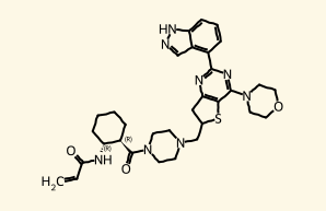 C=CC(=O)N[C@@H]1CCCC[C@H]1C(=O)N1CCN(CC2Cc3nc(-c4cccc5[nH]ncc45)nc(N4CCOCC4)c3S2)CC1